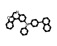 c1ccc(N(c2ccc(-c3cccc4ccccc34)cc2)c2ccc3ncc4oc5ccccc5c4c3c2)cc1